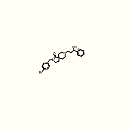 NC(CCN1CCC2(CC1)CCN(Cc1ccc(Br)cc1)C2=O)c1ccccc1